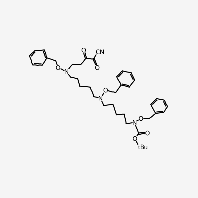 CC(C)(C)OC(=O)N(CCCCCN(CCCCCN(CCC(=O)C(=O)C#N)OCc1ccccc1)OCc1ccccc1)OCc1ccccc1